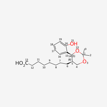 CC1(C)OC[C@@H](CCCCCCCC(=O)O)[C@@H](c2ccccc2O)O1